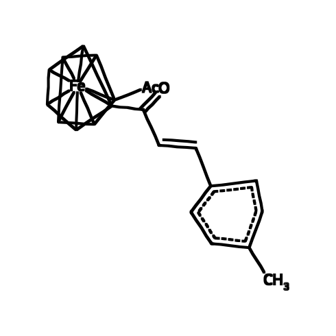 CC(=O)[C]12[CH]3[CH]4[CH]5[CH]1[Fe]45321678[CH]2[CH]1[CH]6[C]7(C(=O)C=Cc1ccc(C)cc1)[CH]28